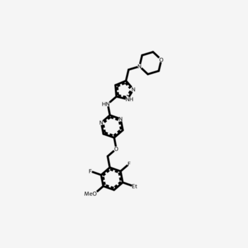 CCc1cc(OC)c(F)c(COc2cnc(Nc3cc(CN4CCOCC4)n[nH]3)nc2)c1F